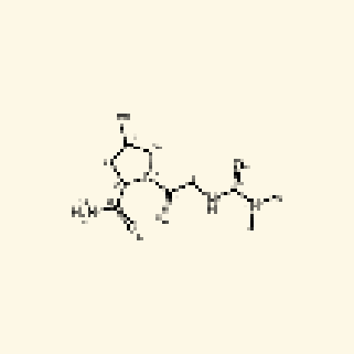 CN(C)C(=O)NCC(=O)N1CC(F)CC1C(N)=O